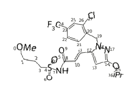 COCCCS(=O)(=O)NC(=O)C=Cc1cc(OC(C)C)nn1Cc1ccc(C(F)(F)F)cc1Cl